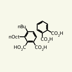 CCCCCCCCc1c(CCCC)ccc(C(=O)O)c1C(=O)O.O=C(O)c1ccccc1C(=O)O